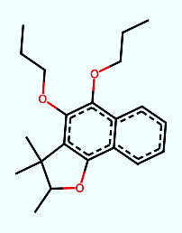 CCCOc1c2c(c3ccccc3c1OCCC)OC(C)C2(C)C